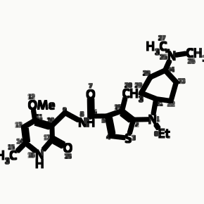 CCN(c1scc(C(=O)NCc2c(OC)cc(C)[nH]c2=O)c1C)C1CCC(N(C)C)CC1